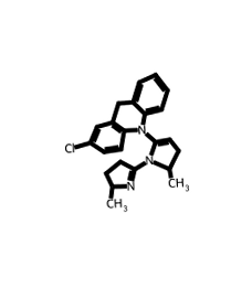 CC1CCC(N2C(N3c4ccccc4Cc4cc(Cl)ccc43)=CCC2C)=N1